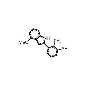 COc1cccc2[nH]c(-c3cccc(S)c3C)cc12